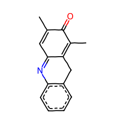 CC1=CC2=Nc3ccccc3CC2=C(C)C1=O